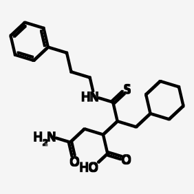 NC(=O)CC(C(=O)O)C(CC1CCCCC1)C(=S)NCCCc1ccccc1